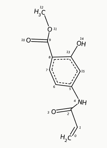 C=CC(=O)Nc1ccc(C(=O)OC)c(O)c1